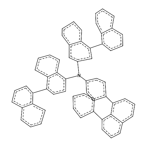 c1ccc(-c2cccc3cccc(-c4ccc(N(c5cc(-c6cccc7ccccc67)c6ccccc6c5)c5ccc(-c6cccc7ccccc67)c6ccccc56)cc4)c23)cc1